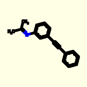 CC(C)=Nc1cccc(C#Cc2ccccc2)c1